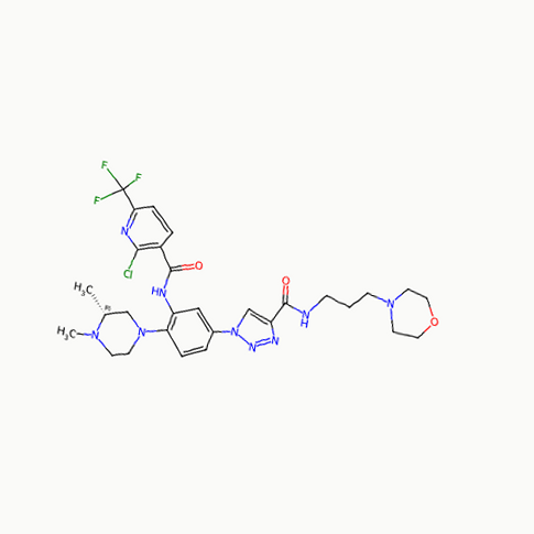 C[C@@H]1CN(c2ccc(-n3cc(C(=O)NCCCN4CCOCC4)nn3)cc2NC(=O)c2ccc(C(F)(F)F)nc2Cl)CCN1C